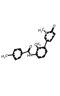 Cc1ccc(C(=O)Nc2cccc(-c3ccc(=O)n(C)c3)c2C)cc1